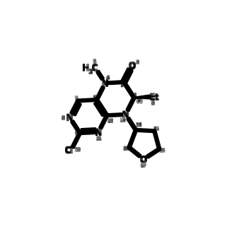 CC[C@@H]1C(=O)N(C)c2cnc(Cl)nc2N1C1CCOC1